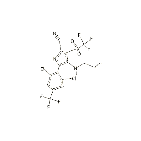 [CH2][CH]CN(C)c1c(S(=O)(=O)C(F)(F)F)c(C#N)nn1-c1c(Cl)cc(C(F)(F)F)cc1Cl